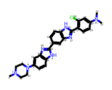 CN1CCN(c2ccc3[nH]c(-c4ccc5[nH]c(-c6ccc(N(C)C)cc6Cl)nc5c4)nc3c2)CC1